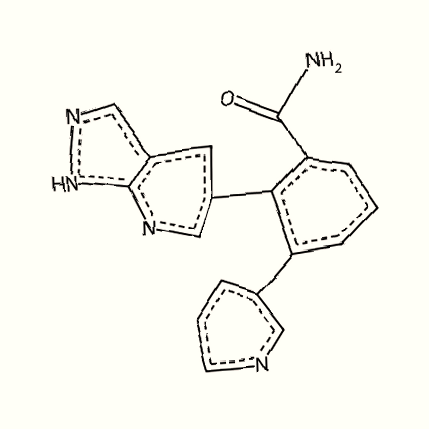 NC(=O)c1cccc(-c2cccnc2)c1-c1cnc2[nH]ncc2c1